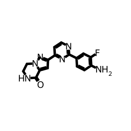 Nc1ccc(-c2nccc(-c3cc4n(n3)CCNC4=O)n2)cc1F